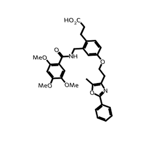 COc1cc(OC)c(C(=O)NCc2cc(OCCc3nc(-c4ccccc4)oc3C)ccc2CCC(=O)O)cc1OC